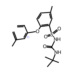 C=C/C(=C\C(=C)C)Oc1ccc(C)cc1S(=O)(=O)NC(=O)NC(C)(C)C